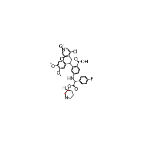 COc1ccc(C(Cc2c(Cl)c[n+]([O-])cc2Cl)c2cc(NC(C(=O)O[C@H]3CN4CCC3CC4)c3ccc(F)cc3)ccc2C(=O)O)cc1OC